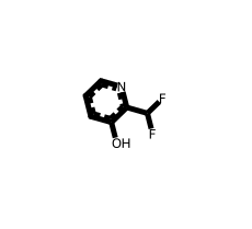 Oc1cccnc1C(F)F